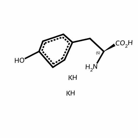 N[C@@H](Cc1ccc(O)cc1)C(=O)O.[KH].[KH]